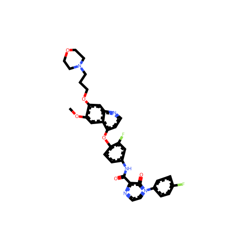 COc1cc2c(Oc3ccc(NC(=O)c4nccn(-c5ccc(F)cc5)c4=O)cc3F)ccnc2cc1OCCCN1CCOCC1